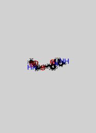 C=C1CCC(N2C(=C)Oc3c(CCCOCCC(C)(C)NC(=O)OC(C)(C)C)cccc32)C(=C)N1